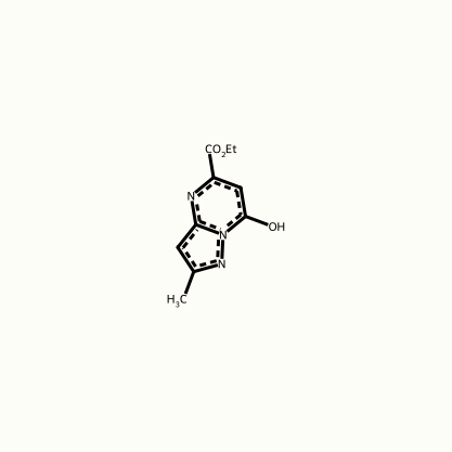 CCOC(=O)c1cc(O)n2nc(C)cc2n1